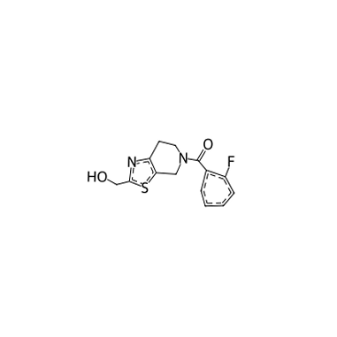 O=C(c1ccccc1F)N1CCc2nc(CO)sc2C1